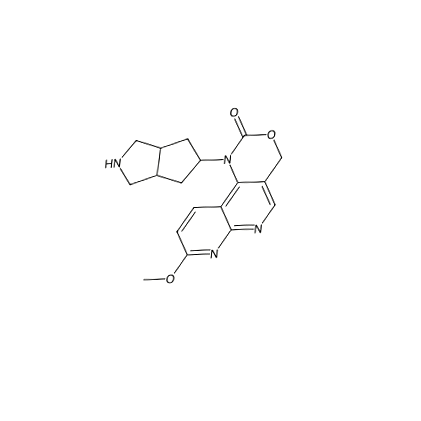 COc1ccc2c3c(cnc2n1)COC(=O)N3C1CC2CNCC2C1